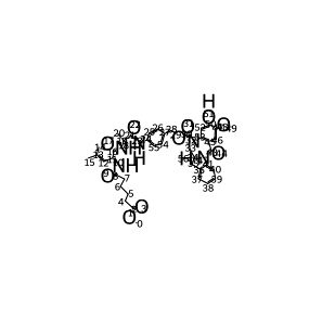 COC(=O)CCCCC(=O)NC(C=C(C)C)C(=O)N[C@@H](C)C(=O)Nc1ccc(COC(=O)N2C[C@@H]3Cc4ccccc4N3C(=O)c3cc(OC)c(O)cc32)cc1